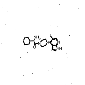 N[C@@H](C(=O)N1CCN(c2c(I)cnc3[nH]ccc23)CC1)C1CCCCC1